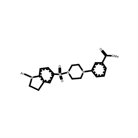 COC(=O)c1cccc(N2CCN(S(=O)(=O)c3ccc4c(c3)CCN4C(C)=O)CC2)c1